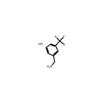 Cl.NCc1cccc(C(F)(F)F)c1